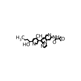 CCCC(O)c1cc(C)c(-c2cc3cnc(NC(=O)C4COC4)cc3n3ccnc23)cn1